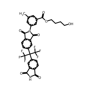 Cc1cc(C(=O)OCCCCO)cc(N2C(=O)c3ccc(C(c4ccc5c(c4)C(=O)NC5=O)(C(F)(F)F)C(F)(F)F)cc3C2=O)c1